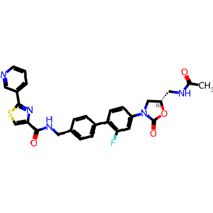 CC(=O)NC[C@H]1CN(c2ccc(-c3ccc(CNC(=O)c4csc(-c5cccnc5)n4)cc3)c(F)c2)C(=O)O1